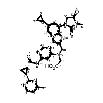 Cc1ccnc([C@H]2C[C@@H]2C(=O)Nc2cc(N(CC(=O)O)Cc3cn4cc(C5CC5)cc(N5CC(=O)N(C)C5=O)c4n3)ncn2)n1